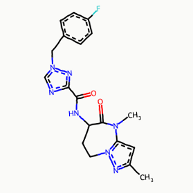 Cc1cc2n(n1)CCC(NC(=O)c1ncn(Cc3ccc(F)cc3)n1)C(=O)N2C